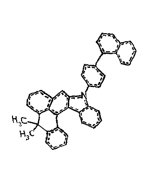 CC1(C)c2ccccc2-c2c3c1cccc3cc1c2c2ccccc2n1-c1ccc(-c2cccc3ccccc23)cc1